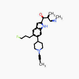 C=C(/C=N\C)C(=O)c1cc2cc(CCCF)c(C3CCN(C#CC)CC3)cc2[nH]1